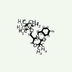 CC1(C)OCC(CO[Si](C)(C)C(C)(C)C)N(Cc2ccccc2)C1=O